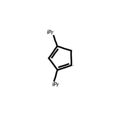 CC(C)C1=[C]CC(C(C)C)=C1